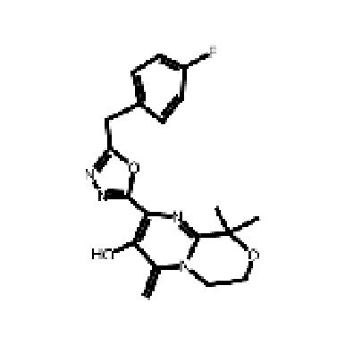 C=C1C(O)=C(c2nnc(Cc3ccc(F)cc3)o2)N=C2N1CCOC2(C)C